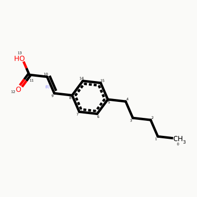 CCCCCc1ccc(/C=C/C(=O)O)cc1